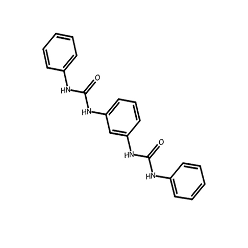 O=C(Nc1ccccc1)Nc1cccc(NC(=O)Nc2ccccc2)c1